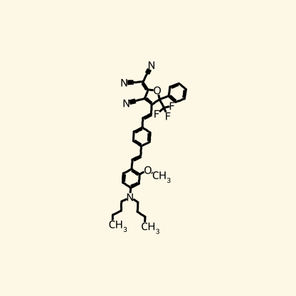 CCCCN(CCCC)c1ccc(/C=C/c2ccc(/C=C/C3=C(C#N)C(=C(C#N)C#N)OC3(c3ccccc3)C(F)(F)F)cc2)c(OC)c1